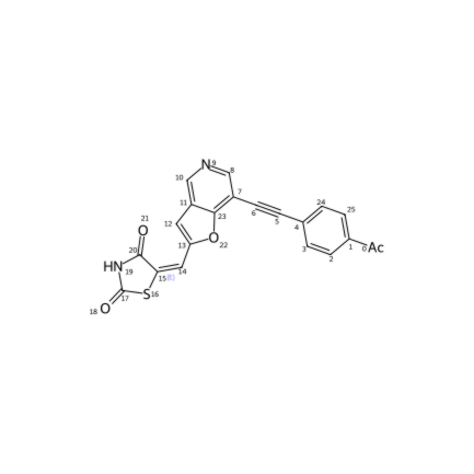 CC(=O)c1ccc(C#Cc2cncc3cc(/C=C4/SC(=O)NC4=O)oc23)cc1